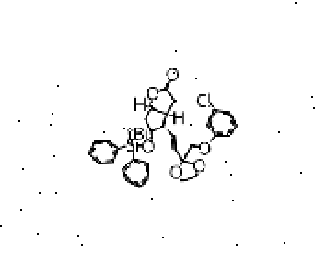 CC(C)(C)[Si](O[C@@H]1C[C@@H]2OC(=O)C[C@@H]2[C@H]1C=CC1(COc2cccc(Cl)c2)OCCO1)(c1ccccc1)c1ccccc1